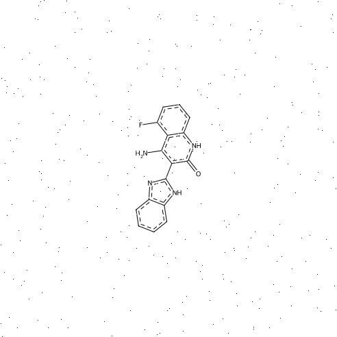 Nc1c(-c2nc3ccccc3[nH]2)c(=O)[nH]c2cccc(F)c12